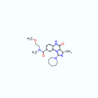 COCCN(C)C(=O)c1ccc2[nH]c(=O)c3c(C)nc(N4CCCCCC4)n3c2c1